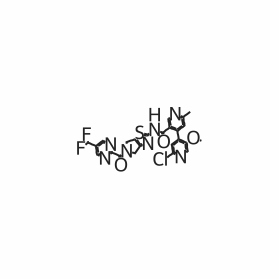 COc1cnc(Cl)cc1-c1cc(C)ncc1C(=O)Nc1nc2c(s1)CN(C(=O)c1ncc(C(F)F)cn1)C2